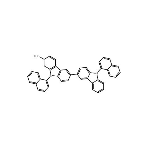 CC1C=Cc2c(n(-c3cccc4ccccc34)c3ccc(-c4ccc5c(c4)c4ccccc4n5-c4cccc5ccccc45)cc23)C1